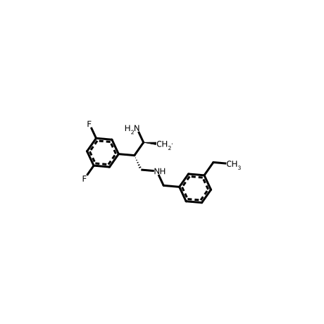 [CH2][C@H](N)[C@H](CNCc1cccc(CC)c1)c1cc(F)cc(F)c1